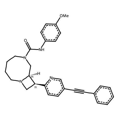 COc1ccc(NC(=O)N2CCCCN3C[C@H](c4ccc(C#Cc5ccccc5)cn4)[C@@H]3C2)cc1